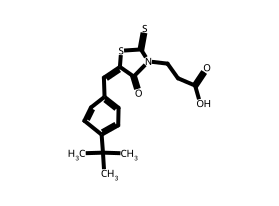 CC(C)(C)c1ccc(/C=C2/SC(=S)N(CCC(=O)O)C2=O)cc1